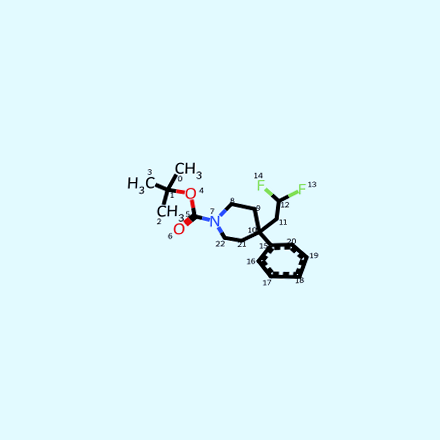 CC(C)(C)OC(=O)N1CCC(CC(F)F)(c2ccccc2)CC1